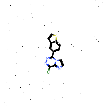 Clc1nnc(-c2ccc3sccc3c2)n2ccnc12